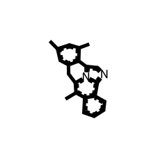 Cc1cc(C)c2c(c1)Cc1c(C)c3ccccc3c3ncc-2n13